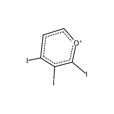 Ic1cc[o+]c(I)c1I